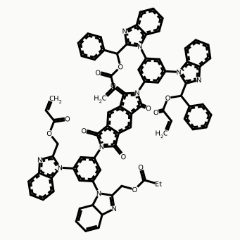 C=CC(=O)OCc1nc2ccccc2n1-c1cc(N2C(COC(=O)CC)=NC3C=CC=CC32)cc(-n2c(=O)c3cc4c(=O)n(-c5cc(-n6c(C(OC(=O)C=C)c7ccccc7)nc7ccccc76)cc(-n6c(C(OC(=O)C=C)c7ccccc7)nc7ccccc76)c5)c(=O)c4cc3c2=O)c1